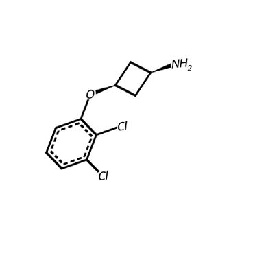 N[C@H]1C[C@@H](Oc2cccc(Cl)c2Cl)C1